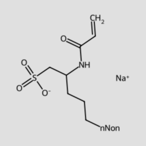 C=CC(=O)NC(CCCCCCCCCCCC)CS(=O)(=O)[O-].[Na+]